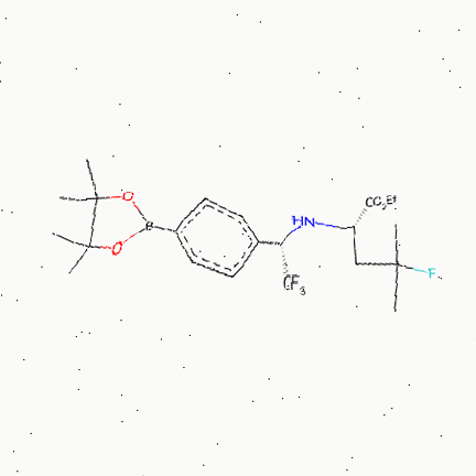 CCOC(=O)[C@H](CC(C)(C)F)N[C@@H](c1ccc(B2OC(C)(C)C(C)(C)O2)cc1)C(F)(F)F